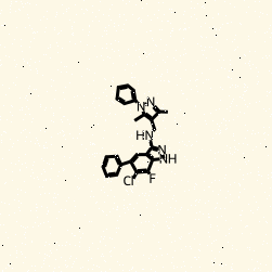 Cc1nn(-c2ccccc2)c(C)c1CNc1n[nH]c2c(F)c(Cl)c(-c3ccccc3)cc12